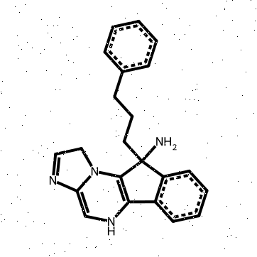 NC1(CCCc2ccccc2)C2=C(NC=C3N=CCN32)c2ccccc21